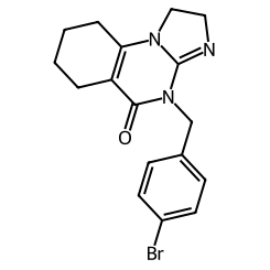 O=C1C2=C(CCCC2)N2CCN=C2N1Cc1ccc(Br)cc1